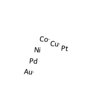 [Au].[Co].[Cu].[Ni].[Pd].[Pt]